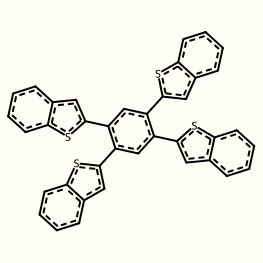 c1ccc2sc(-c3cc(-c4cc5ccccc5s4)c(-c4cc5ccccc5s4)cc3-c3cc4ccccc4s3)cc2c1